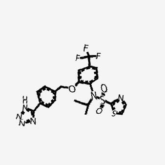 CC(C)N(c1ccc(C(F)(F)F)cc1OCc1ccc(-c2nnn[nH]2)cc1)S(=O)(=O)c1nccs1